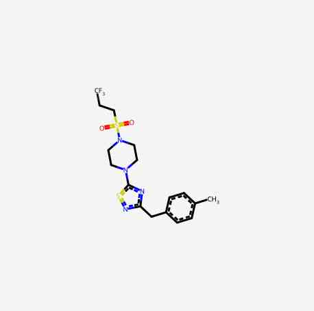 Cc1ccc(Cc2nsc(N3CCN(S(=O)(=O)CCC(F)(F)F)CC3)n2)cc1